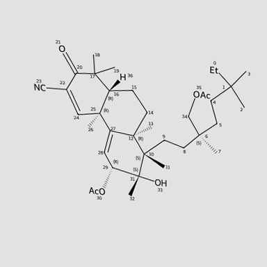 CCC(C)(C)CC[C@@](C)(CC[C@@]1(C)[C@]2(C)CC[C@H]3C(C)(C)C(=O)C(C#N)=C[C@]3(C)C2=C[C@@H](OC(C)=O)[C@@]1(C)O)COC(C)=O